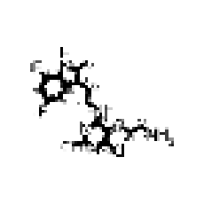 Cc1[nH]c2c(F)cc(F)cc2c1CCNc1nc(Cl)nc(Cl)c1OCCN